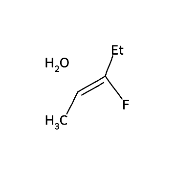 CC=C(F)CC.O